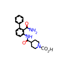 NC(=O)c1c(NC(=O)C2CCN(C(=O)O)CC2)cccc1-c1ccccc1